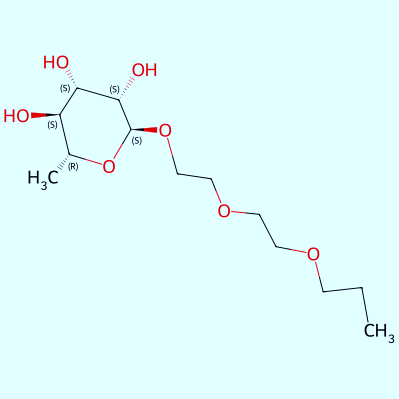 CCCOCCOCCO[C@H]1O[C@H](C)[C@@H](O)[C@H](O)[C@@H]1O